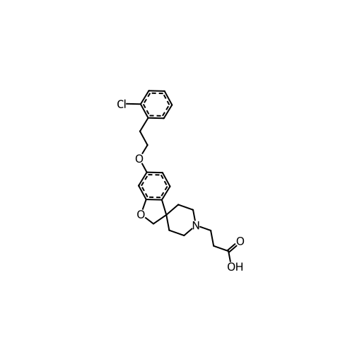 O=C(O)CCN1CCC2(CC1)COc1cc(OCCc3ccccc3Cl)ccc12